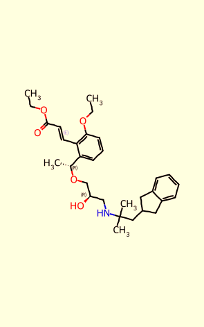 CCOC(=O)/C=C/c1c(OCC)cccc1[C@@H](C)OC[C@H](O)CNC(C)(C)CC1Cc2ccccc2C1